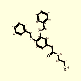 O=C(Cc1ccc(OCc2ccccc2)c(OCc2ccccc2)c1)OCCO